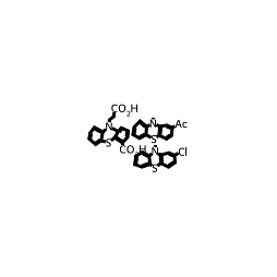 CC(=O)c1ccc2c(c1)N(C)c1ccccc1S2.CN1c2ccccc2Sc2ccc(Cl)cc21.O=C(O)CCN1c2ccccc2Sc2c(C(=O)O)cccc21